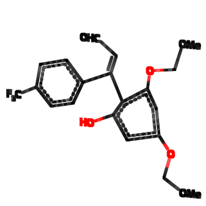 COCOc1cc(O)c(C(=CC=O)c2ccc(C(F)(F)F)cc2)c(OCOC)c1